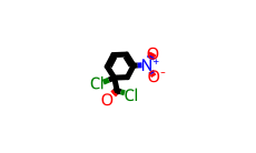 O=C(Cl)C1(Cl)C=CC=C([N+](=O)[O-])C1